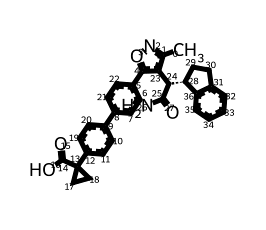 Cc1noc(-c2ccc(-c3ccc(C4(C(=O)O)CC4)cc3)cc2)c1C(C(N)=O)[C@@H]1CCc2ccccc21